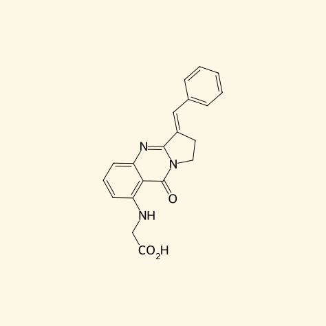 O=C(O)CNc1cccc2nc3n(c(=O)c12)CCC3=Cc1ccccc1